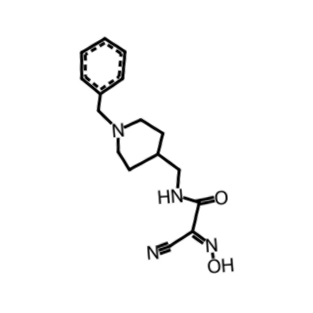 N#C/C(=N\O)C(=O)NCC1CCN(Cc2ccccc2)CC1